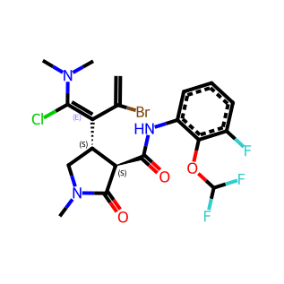 C=C(Br)/C(=C(/Cl)N(C)C)[C@H]1CN(C)C(=O)[C@@H]1C(=O)Nc1cccc(F)c1OC(F)F